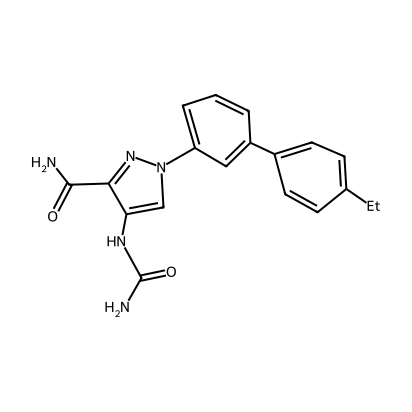 CCc1ccc(-c2cccc(-n3cc(NC(N)=O)c(C(N)=O)n3)c2)cc1